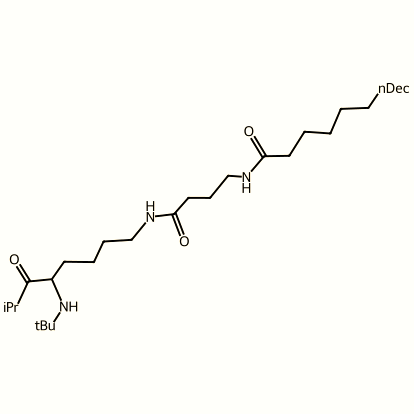 CCCCCCCCCCCCCCCC(=O)NCCCC(=O)NCCCCC(NC(C)(C)C)C(=O)C(C)C